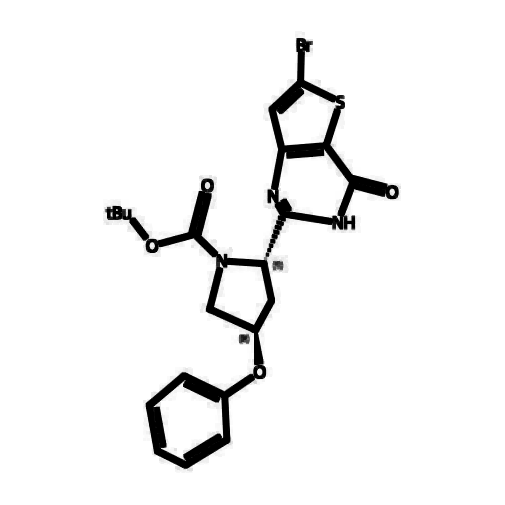 CC(C)(C)OC(=O)N1C[C@H](Oc2ccccc2)C[C@H]1c1nc2cc(Br)sc2c(=O)[nH]1